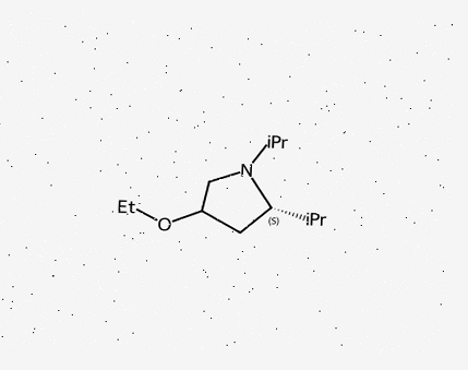 CCOC1C[C@@H](C(C)C)N(C(C)C)C1